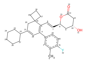 Cc1cc(C2=C(/C=C/[C@@H]3C[C@@H](O)CC(=O)O3)C3(CCC3)CC(C3CCCCC3)=C2)ccc1F